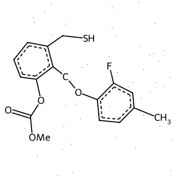 COC(=O)Oc1cccc(CS)c1COc1ccc(C)cc1F